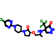 CC(CO[C@@H]1CCN(C2CCN(c3ncc(Cl)cn3)CC2)C1=O)Nc1cn[nH]c(=O)c1C(F)(F)F